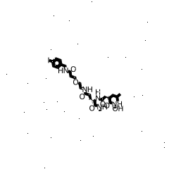 CNC(=O)[C@H](CCC(=O)NCCOCCC(=O)NCc1ccc(I)cc1)NC(=O)C[C@@H](CC(C)C)C(=O)NO